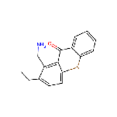 CCc1ccc2sc3ccccc3c(=O)c2c1CN